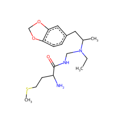 CCN(CNC(=O)C(N)CCSC)C(C)Cc1ccc2c(c1)OCO2